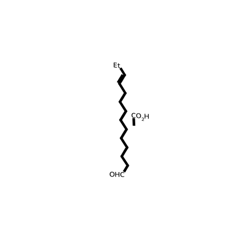 CC(=O)O.CCC=CCCCCCCCCCC=O